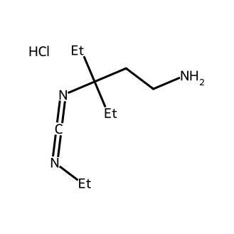 CCN=C=NC(CC)(CC)CCN.Cl